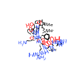 CN[C@@H](CCSC)C(=O)N[C@H](C(=O)N[C@@H](CC(=O)O)C(=O)N[C@@H](CCCCN)C(=O)N[C@@H](Cc1ccc(O)cc1)C(=O)N[C@@H](CCCNC(=N)N)C(=O)N[C@@H](CC(C)C)C(=O)N[C@@H](Cc1c[nH]cn1)C(N)=O)[C@@H](C)O